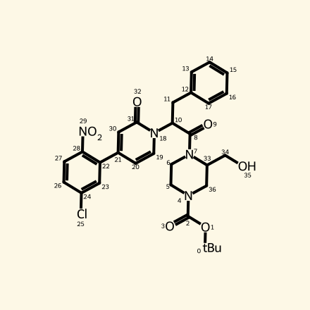 CC(C)(C)OC(=O)N1CCN(C(=O)C(Cc2ccccc2)n2ccc(-c3cc(Cl)ccc3[N+](=O)[O-])cc2=O)C(CO)C1